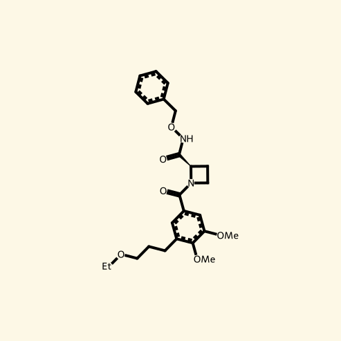 CCOCCCc1cc(C(=O)N2CC[C@@H]2C(=O)NOCc2ccccc2)cc(OC)c1OC